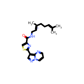 CC(C)=CCC/C(C)=C/CNC(=O)c1csc(-c2cnn3cccnc23)n1